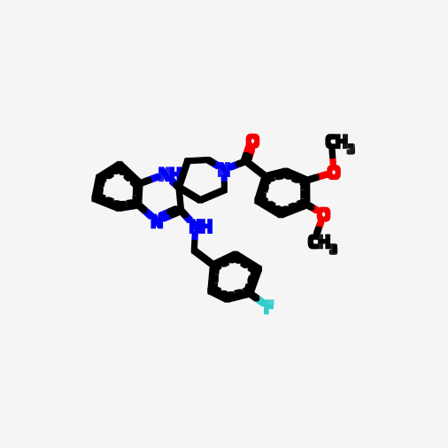 COc1ccc(C(=O)N2CCC3(CC2)Nc2ccccc2N=C3NCc2ccc(F)cc2)cc1OC